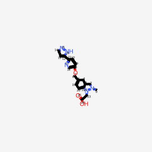 CN1CC2CC(COc3ccc(-c4ccn[nH]4)nc3)=CC=C2N1CC(=O)O